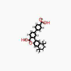 CC1(C)CCC(C)(C)c2cc(-c3cc(-c4ccc(C(=O)O)cc4)ccc3C(=O)O)ccc21